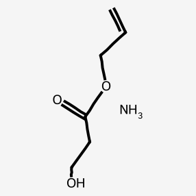 C=CCOC(=O)CCO.N